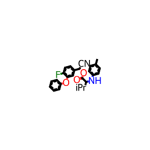 Cc1ccc(NC(C(=O)OC(C#N)c2ccc(F)c(Oc3ccccc3)c2)C(C)C)cc1